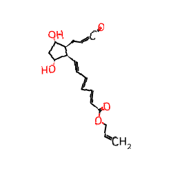 C=CCOC(=O)C=CC=CC=C[C@@H]1[C@H](CC=C=O)[C@@H](O)C[C@H]1O